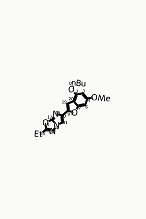 CCCCOc1cc(OC)cc2oc(-c3cn4nc(CC)oc4n3)cc12